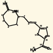 N=C1CCCCC(CC=Cc2ccc(C(N)=O)s2)N1